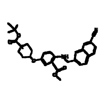 COC(=O)c1cc(OC2CCN(C(=O)OC(C)(C)C)CC2)ccc1NCc1ccc2ccc(C#N)cc2c1